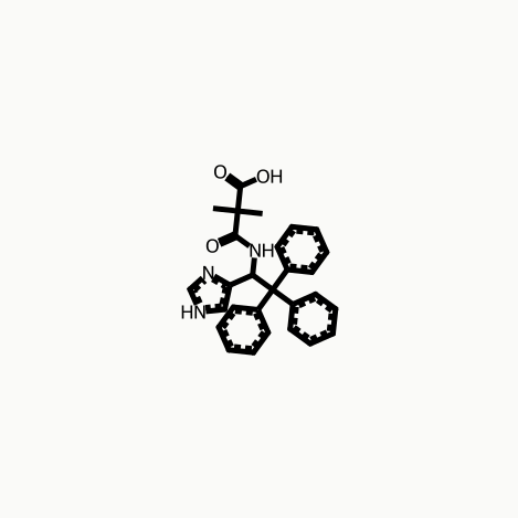 CC(C)(C(=O)O)C(=O)NC(c1c[nH]cn1)C(c1ccccc1)(c1ccccc1)c1ccccc1